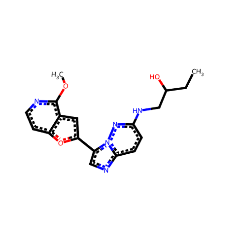 CCC(O)CNc1ccc2ncc(-c3cc4c(OC)nccc4o3)n2n1